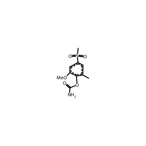 COc1cc(S(C)(=O)=O)cc(C)c1OC(N)=O